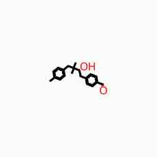 Cc1ccc(CC(C)(C)C(O)Cc2ccc(C=O)cc2)cc1